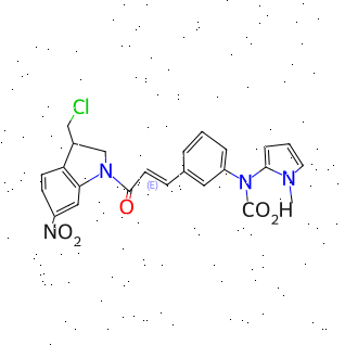 Cn1cccc1N(C(=O)O)c1cccc(/C=C/C(=O)N2CC(CCl)c3ccc([N+](=O)[O-])cc32)c1